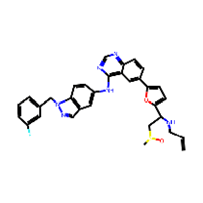 C=CCNC(C[S+](C)[O-])c1ccc(-c2ccc3ncnc(Nc4ccc5c(cnn5Cc5cccc(F)c5)c4)c3c2)o1